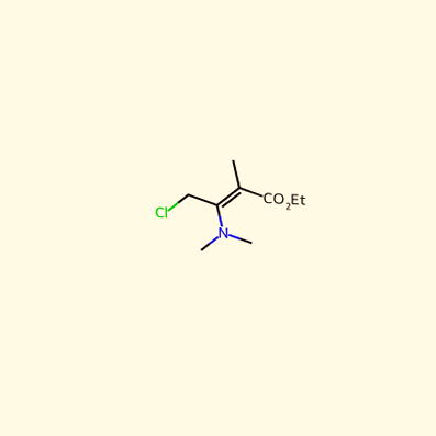 CCOC(=O)C(C)=C(CCl)N(C)C